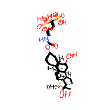 CCCCCC[C@](C)(O)[C@H]1CC[C@H]2[C@@H]3C[C@H](O)[C@H]4C[C@@H](OC(=O)NCCCC(O)(P(=O)(O)O)P(=O)(O)O)CC[C@]4(C)[C@H]3CC[C@@]21C